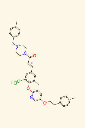 Cc1ccc(CCOc2ccc(Oc3c(C)cc(/C=C/C(=O)N4CCN(Cc5ccc(C)cc5)CC4)cc3Cl)nc2)cc1.Cl